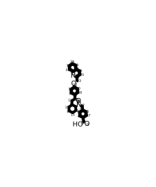 O=C(O)c1ccc(C=NOC(CC2CCCCC2)c2ccc(OCc3ccc4ccccc4n3)cc2)cc1